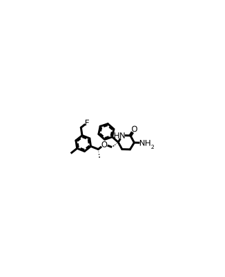 Cc1cc(CF)cc([C@@H](C)OC[C@@]2(c3ccccc3)CCC(N)C(=O)N2)c1